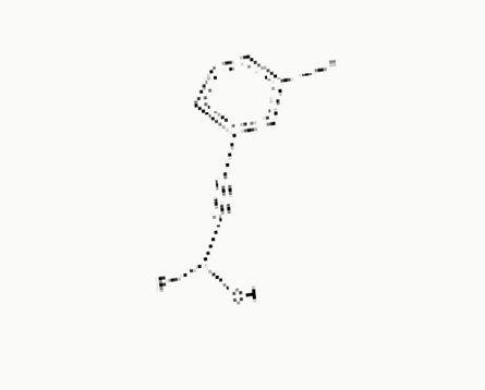 CC(C)C(O)C#Cc1cccc(F)c1